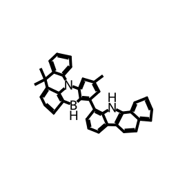 Cc1cc(-c2cccc3c2[nH]c2c4ccccc4ccc32)c2c(c1)N1c3ccccc3C(C)(C)c3cccc(c31)B2